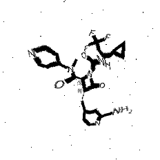 CN(C(=O)[C@@H]1[C@@H](Cc2ccnc(N)c2)C(=O)N1C(=O)NC(C1CC1)C(F)(F)F)c1ccncc1